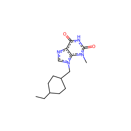 CCC1CCC(Cn2cnc3c(=O)[nH]c(=O)n(C)c32)CC1